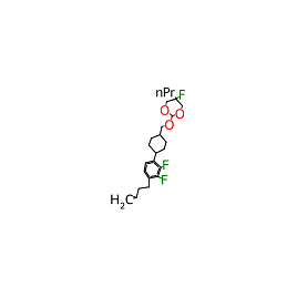 C=CCCc1ccc(C2CCC(COC3OCC(F)(CCC)CO3)CC2)c(F)c1F